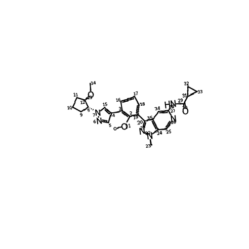 COc1c(-c2cnn([C@@H]3CCC[C@H]3OC)c2)cccc1-c1nn(C)c2cnc(NC(=O)C3CC3)cc12